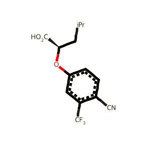 CC(C)C[C@@H](Oc1ccc(C#N)c(C(F)(F)F)c1)C(=O)O